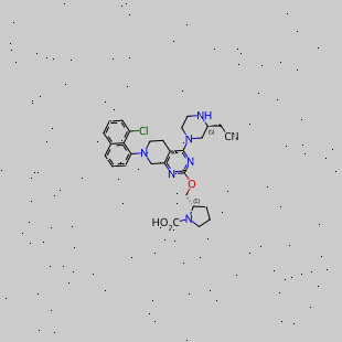 N#CC[C@H]1CN(c2nc(OC[C@@H]3CCCN3C(=O)O)nc3c2CCN(c2cccc4cccc(Cl)c24)C3)CCN1